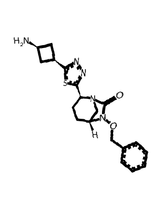 N[C@H]1C[C@@H](c2nnc([C@@H]3CC[C@@H]4CN3C(=O)N4OCc3ccccc3)s2)C1